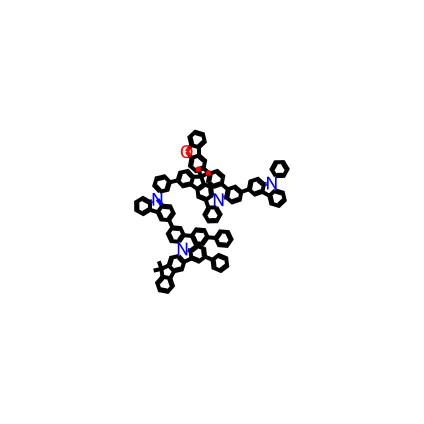 CC1(C)c2ccc(-c3cccc(-n4c5ccccc5c5cc(-c6ccc(-n7c8ccc(-c9ccccc9)cc8c8cc9c(cc87)C(C)(C)c7ccccc7-9)c(-c7ccc(-c8ccccc8)cc7)c6)ccc54)c3)cc2-c2cc3c4ccccc4n(-c4ccc(-c5ccc6c(c5)c5ccccc5n6-c5ccccc5)cc4-c4ccc(-c5ccc6oc7ccccc7c6c5)cc4)c3cc21